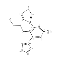 CCCCc1c(-c2ccsc2)nc(N)nc1-c1ccsc1